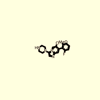 COc1cccc(F)c1-c1cc2ncc(N3CCNCC3)n2cc1Cl